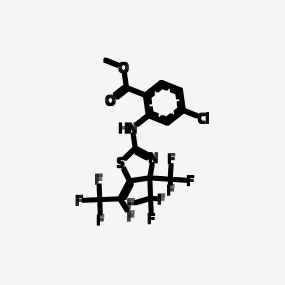 COC(=O)c1ccc(Cl)cc1NC1=NC(C(F)(F)F)(C(F)(F)F)/C(=C(\F)C(F)(F)F)S1